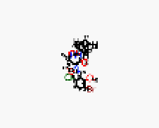 COc1c(Br)ccc(Cl)c1CN1OC[C@@H]([C@H](C)O)[C@H]1C(=O)N[C@H]1C[C@H]2C[C@@H]([C@@H]1C)C2(C)C